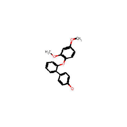 COc1ccc(Oc2ccccc2-c2ccc([O])cc2)c(OC)c1